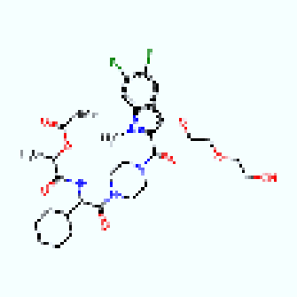 CNC(=O)OC(C)C(=O)NC(C(=O)N1CCN(C(=O)c2c(OCCOCCO)c3cc(F)c(F)cc3n2C)CC1)C1CCCCC1